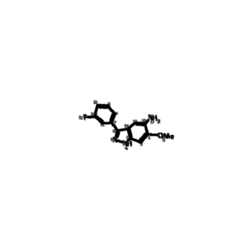 COc1cc2[nH]nc(-c3cccc(F)c3)c2cc1N